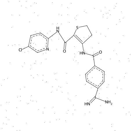 N=C(N)c1ccc(C(=O)NC2=C(C(=O)Nc3ccc(Cl)cn3)SCC2)cc1